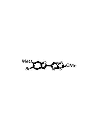 COc1nn2cc(-c3cc4cc(Br)c(OC)cc4o3)nc2s1